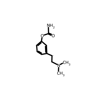 CN(C)C[CH]c1cccc(OC(N)=O)c1